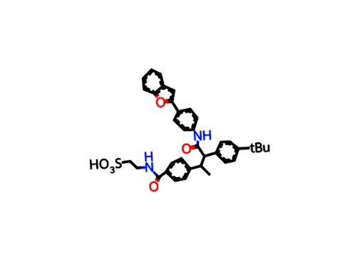 CC(c1ccc(C(=O)NCCS(=O)(=O)O)cc1)C(C(=O)Nc1ccc(-c2cc3ccccc3o2)cc1)c1ccc(C(C)(C)C)cc1